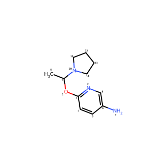 CC(Oc1ccc(N)cn1)N1CCCC1